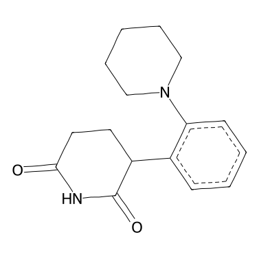 O=C1CCC(c2ccccc2N2CCCCC2)C(=O)N1